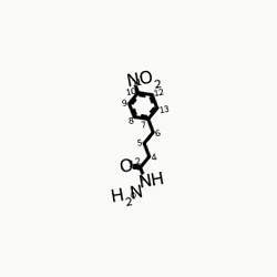 NNC(=O)CCCc1ccc([N+](=O)[O-])cc1